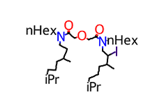 CCCCCCN(CCC(C)CCCC(C)C)C(=O)COCC(=O)N(CCCCCC)CC(I)C(C)CCCC(C)C